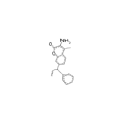 C=CC(c1ccccc1)c1ccc2c(C)c(N)c(=O)oc2c1